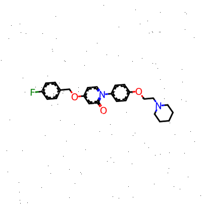 O=c1cc(OCc2ccc(F)cc2)ccn1-c1ccc(OCCN2CCCCC2)cc1